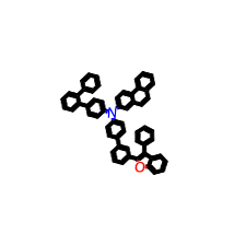 c1ccc(-c2ccccc2-c2ccc(N(c3ccc(-c4cccc(-c5oc6ccccc6c5-c5ccccc5)c4)cc3)c3ccc4c(ccc5ccccc54)c3)cc2)cc1